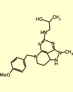 COc1ccc(CN2CCC3NN(C)c4nc(NCC(C)O)nc2c43)cc1